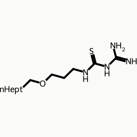 CCCCCCCCOCCCNC(=S)NC(=N)N